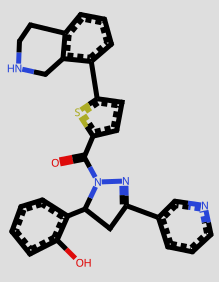 O=C(c1ccc(-c2cccc3c2CNCC3)s1)N1N=C(c2cccnc2)CC1c1ccccc1O